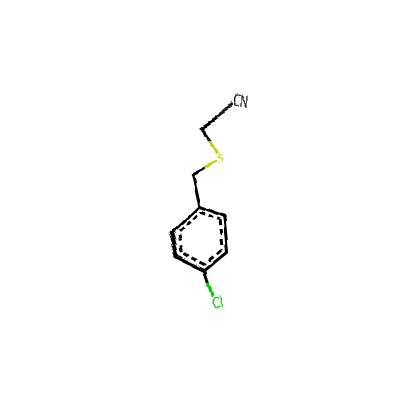 N#CCSCc1ccc(Cl)cc1